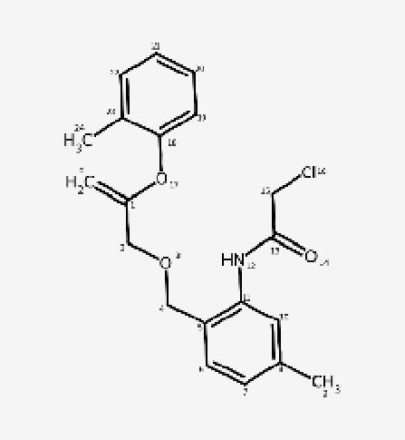 C=C(COCc1ccc(C)cc1NC(=O)CCl)Oc1ccccc1C